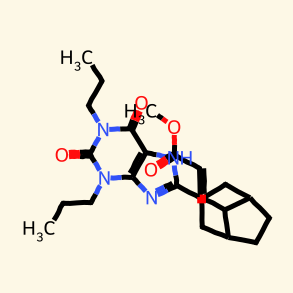 CCCn1c(=O)c2[nH]c(C3CC4CCC(C3)C4C=CC(=O)OC)nc2n(CCC)c1=O